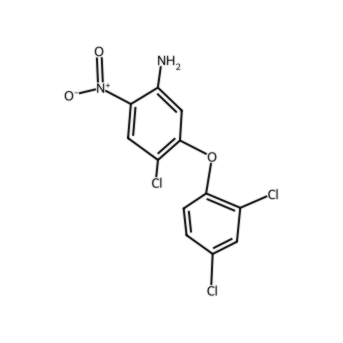 Nc1cc(Oc2ccc(Cl)cc2Cl)c(Cl)cc1[N+](=O)[O-]